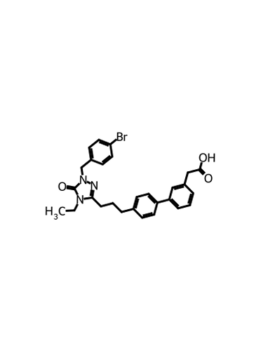 CCn1c(CCCc2ccc(-c3cccc(CC(=O)O)c3)cc2)nn(Cc2ccc(Br)cc2)c1=O